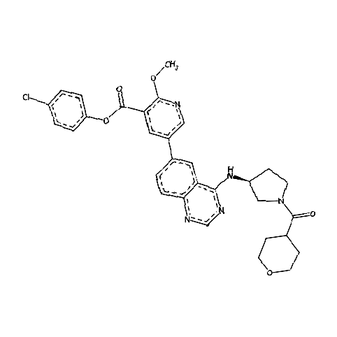 COc1ncc(-c2ccc3ncnc(N[C@H]4CCN(C(=O)C5CCOCC5)C4)c3c2)cc1C(=O)Oc1ccc(Cl)cc1